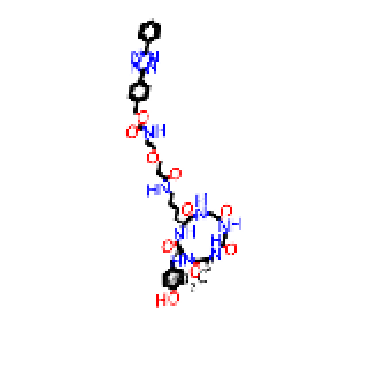 O=C(O)C[C@@H]1NC(=O)CNC(=O)CNC(=O)[C@H](CCCCNC(=O)CCOCCNC(=O)OCc2ccc(-c3nnc(-c4ccccc4)nn3)cc2)NC(=O)[C@@H](Cc2ccc(O)cc2)NC1=O